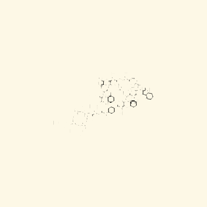 CCCC[C@@H](NC(=O)[C@@H](Cc1ccccc1)NC(=O)[C@@H](Cc1c[nH]cn1)NC(=O)CCNC(=O)[C@@H](NC(=O)[C@H](C)NC(=O)[C@H](Cc1c[nH]c2ccccc12)NC(=O)[C@H](CCC(N)=O)NC(=O)[C@@H](Cc1ccc(O)cc1)NC(=O)c1ccc(NC(=O)CNC(=O)CN2CCN(CC(=O)O)CCN(CC(=O)O)CCN(CC(=O)O)CC2)cc1)C(C)C)C(N)=O